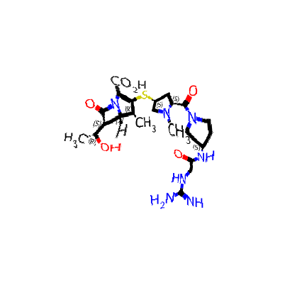 C[C@@H](O)[C@H]1C(=O)N2C(C(=O)O)=C(S[C@H]3C[C@@H](C(=O)N4CC[C@H](NC(=O)CNC(=N)N)C4)N(C)C3)[C@H](C)[C@H]12